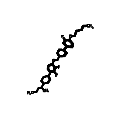 C=CCCCOc1ccc(-c2ccc(COc3ccc(C4CCC(C(O)CCC)CC4)c(F)c3F)cc2)cc1F